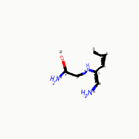 C/C=C\C(=C\N)NCC(N)=O